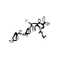 C/C=C\N=C(/C)n1cc(C(=O)O)c(=O)c2cc(F)c(N3CC(NC(=O)c4ccc(OC)cn4)C3)nc21